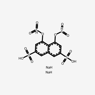 O=[SH](=O)Oc1cc(S(=O)(=O)O)cc2cc(S(=O)(=O)O)cc(O[SH](=O)=O)c12.[NaH].[NaH]